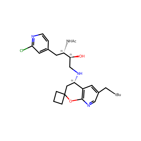 CC(=O)N[C@@H](Cc1ccnc(Cl)c1)[C@@H](O)CN[C@H]1CC2(CCC2)Oc2ncc(CC(C)(C)C)cc21